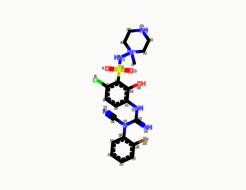 C[N+]1(NS(=O)(=O)c2c(Cl)ccc(NC(=N)N(C#N)c3ccccc3Br)c2O)CCNCC1